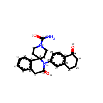 NC(=O)N1CCC2(CC1)c1ccccc1CC(=O)N2c1ccc2c(c1)CCCC2=O